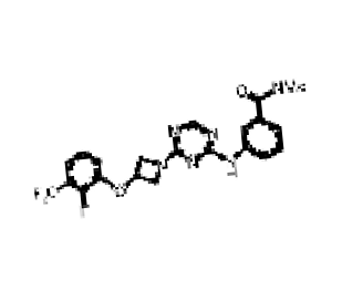 CNC(=O)c1cccc(Nc2ncnc(N3CC(Oc4cccc(C(F)(F)F)c4F)C3)n2)c1